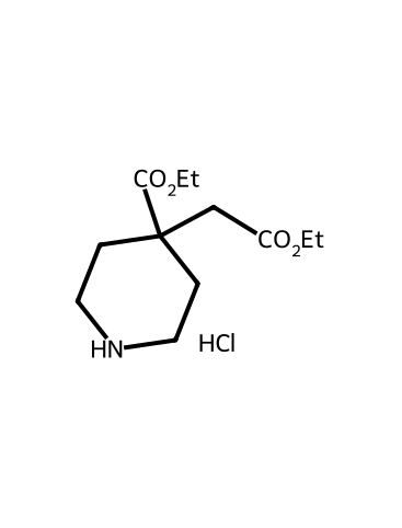 CCOC(=O)CC1(C(=O)OCC)CCNCC1.Cl